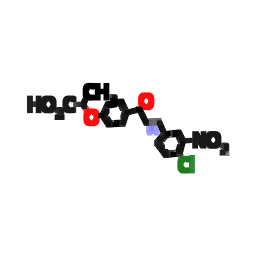 CC(Oc1ccc(C(=O)/C=C/c2ccc(Cl)c([N+](=O)[O-])c2)cc1)C(=O)O